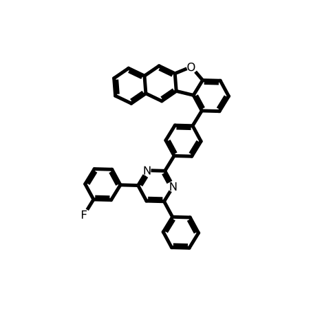 Fc1cccc(-c2cc(-c3ccccc3)nc(-c3ccc(-c4cccc5oc6cc7ccccc7cc6c45)cc3)n2)c1